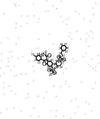 CNC(=O)c1c(-c2ccc(C)cc2)oc2cc(N(C)S(C)(=O)=O)c([C@H]3CCCN(S(=O)(=O)CCc4ccccc4)C3)cc12